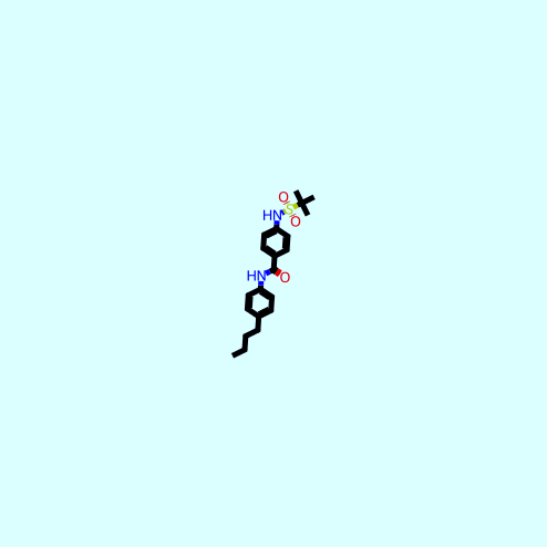 CCCCc1ccc(NC(=O)c2ccc(NS(=O)(=O)C(C)(C)C)cc2)cc1